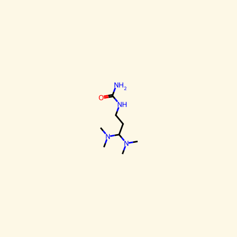 CN(C)C(CCNC(N)=O)N(C)C